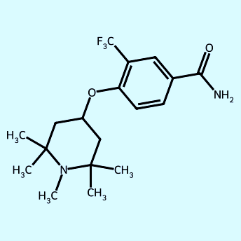 CN1C(C)(C)CC(Oc2ccc(C(N)=O)cc2C(F)(F)F)CC1(C)C